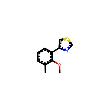 COc1c(C)cccc1-c1cscn1